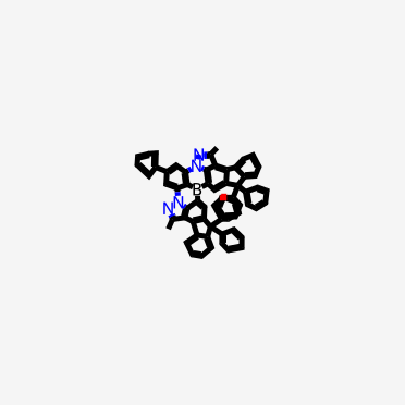 Cc1nn2c3c(cc4c(c13)-c1ccccc1C4(c1ccccc1)c1ccccc1)B1c3c-2cc(-c2ccccc2)cc3-n2nc(C)c3c4c(cc1c32)C(c1ccccc1)(c1ccccc1)c1ccccc1-4